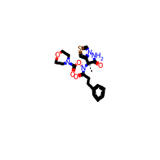 C[C@@](C(N)=O)(c1cscn1)N(OC(=O)N1CCOCC1)C(=O)CCc1ccccc1